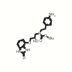 CC(C)(C)OC(=O)N(CCc1ccc(N)cc1)C[C@@H](O)COc1cccc2[nH]c(=O)[nH]c12